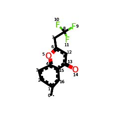 [CH2]c1ccc2oc(CC(F)(F)F)cc(=O)c2c1